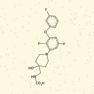 O=C(O)NCC1(O)CCN(c2cc(F)cc(Oc3cccc(F)c3)c2F)CC1